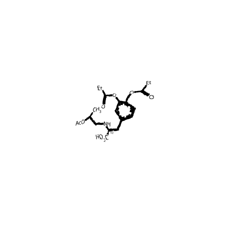 CCC(=O)Oc1ccc(C[C@H](NCC(C)OC(C)=O)C(=O)O)cc1OC(=O)CC